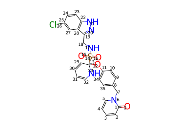 O=c1ccccn1Cc1ccc(OC2(S(=O)(=O)NCc3n[nH]c4ccc(Cl)cc34)C=CC=CN2)cc1